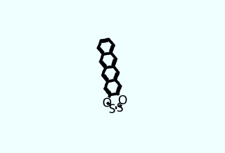 c1ccc2cc3cc4cc5ossoc5cc4cc3cc2c1